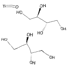 OC[C@@H](O)[C@@H](O)CO.OC[C@@H](O)[C@@H](O)CO.[O]=[Ti]